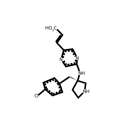 O=C(O)/C=C/c1cnc(N[C@]2(Cc3ccc(Cl)cc3)CCNC2)cn1